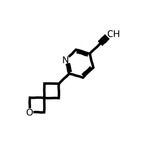 C#Cc1ccc(C2CC3(COC3)C2)nc1